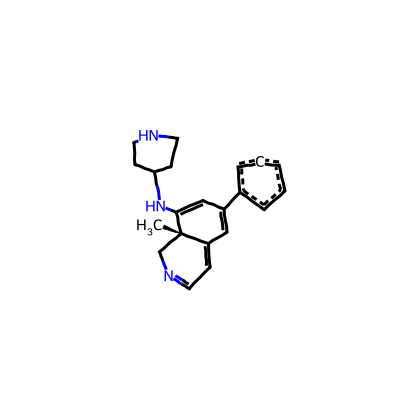 C[C@]12CN=CC=C1C=C(c1ccccc1)C=C2NC1CCNCC1